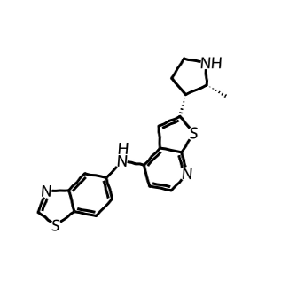 C[C@H]1NCC[C@H]1c1cc2c(Nc3ccc4scnc4c3)ccnc2s1